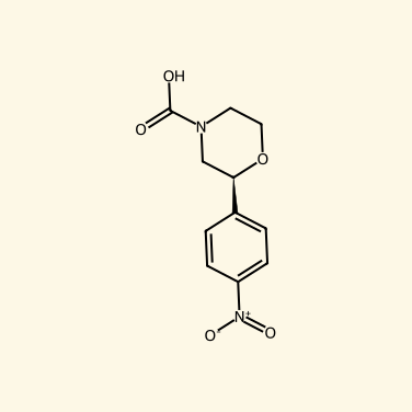 O=C(O)N1CCO[C@@H](c2ccc([N+](=O)[O-])cc2)C1